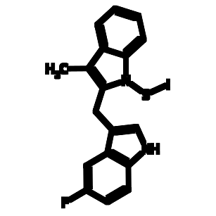 Cc1c(Cc2c[nH]c3ccc(F)cc23)n(SI)c2ccccc12